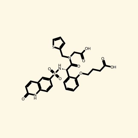 O=C(O)CCCOc1ccccc1[C@H](NS(=O)(=O)c1ccc2[nH]c(=O)ccc2c1)C(=O)N(CC(=O)O)Cc1cccs1